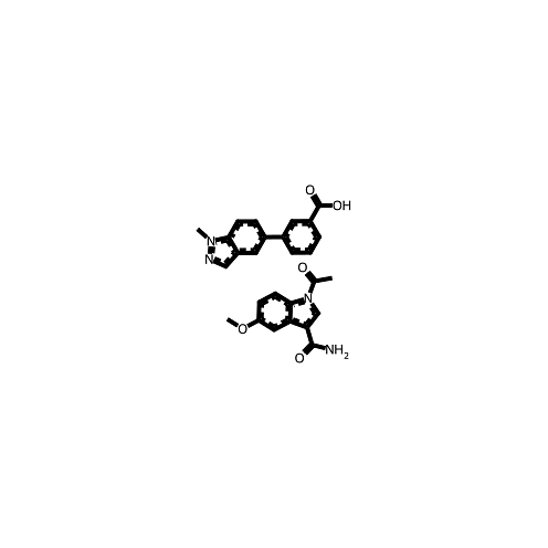 COc1ccc2c(c1)c(C(N)=O)cn2C(C)=O.Cn1ncc2cc(-c3cccc(C(=O)O)c3)ccc21